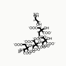 O=C([O-])CC(O)(CC(=O)[O-])C(=O)[O-].O=C([O-])CC(O)(CC(=O)[O-])C(=O)[O-].O=C([O-])CC(O)(CC(=O)[O-])C(=O)[O-].O=C([O-])CC(O)(CC(=O)[O-])C(=O)[O-].OCCO.[Ti+4].[Ti+4].[Ti+4]